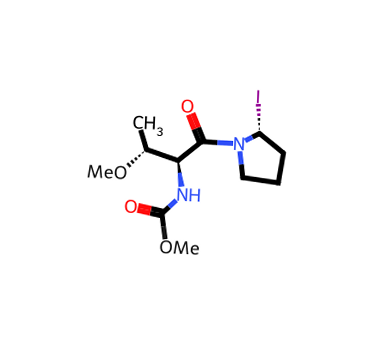 COC(=O)N[C@H](C(=O)N1CCC[C@H]1I)[C@@H](C)OC